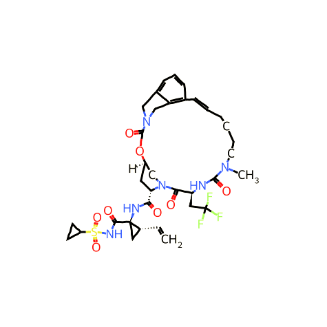 C=C[C@@H]1C[C@]1(NC(=O)[C@@H]1C[C@@H]2CN1C(=O)[C@H](CC(F)(F)F)NC(=O)N(C)CCCC/C=C/c1cccc3c1CN(C3)C(=O)O2)C(=O)NS(=O)(=O)C1CC1